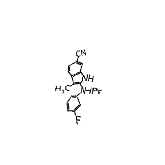 Cc1c(N(c2cccc(F)c2)C(C)C)[nH]c2cc(C#N)ccc12